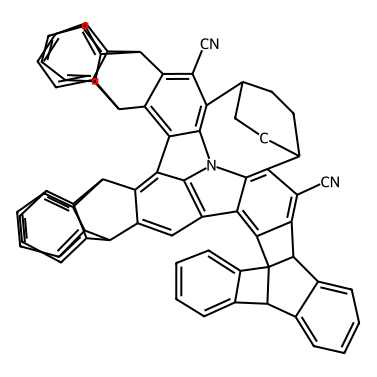 N#Cc1c2c(c3c4cc5c(c6c7c8c(c(C#N)c9c7n(c3c1C1CCC9CC1)c46)C1c3ccccc3C8c3ccccc31)C1c3ccccc3C5c3ccccc31)C13c4ccccc4C1c1ccccc1C23